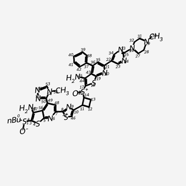 CCCC[S@@+]([O-])c1sc2nc(-c3nc(C4CCC4[S+]([O-])c4sc5nc(-c6cnc(N7CCN(C)CC7)nc6)cc(-c6ccccc6)c5c4N)cs3)cc(-c3nncn3C)c2c1N